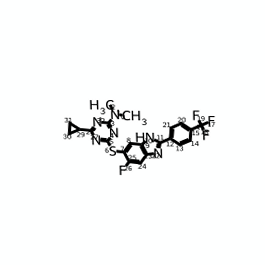 CN(C)c1nc(Sc2cc3[nH]c(-c4ccc(C(F)(F)F)cc4)nc3cc2F)nc(C2CC2)n1